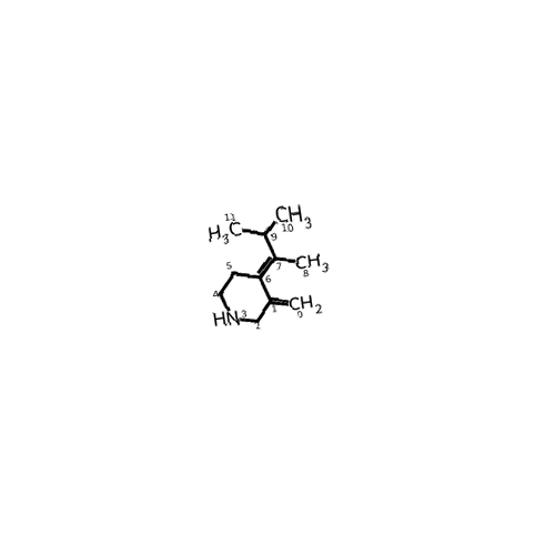 C=C1CNCC/C1=C(/C)C(C)C